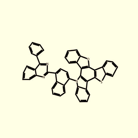 c1ccc(-c2nc(-c3ccc(-n4c5ccccc5c5c6sc7ccccc7c6c6oc7ccccc7c6c54)c4ccccc34)nc3ccccc23)cc1